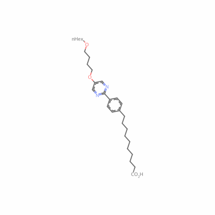 CCCCCCOCCCCOc1cnc(-c2ccc(CCCCCCCCCC(=O)O)cc2)nc1